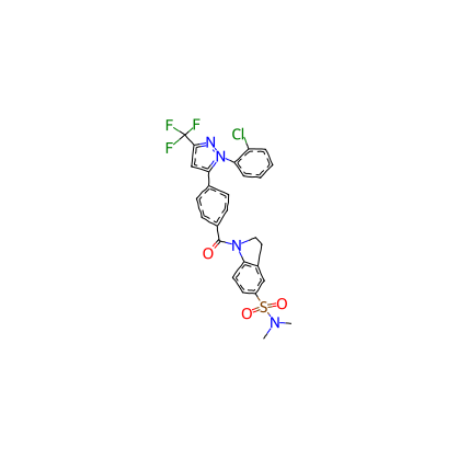 CN(C)S(=O)(=O)c1ccc2c(c1)CCN2C(=O)c1ccc(-c2cc(C(F)(F)F)nn2-c2ccccc2Cl)cc1